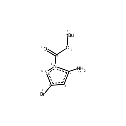 CC(C)(C)OC(=O)n1nc(Br)cc1N